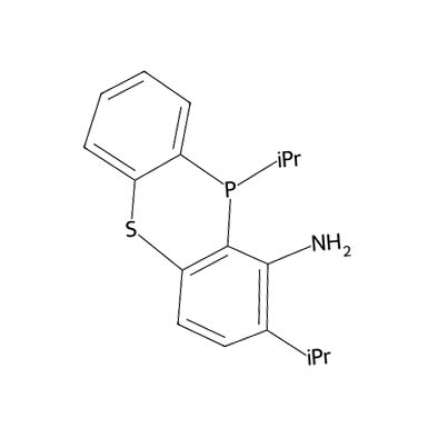 CC(C)c1ccc2c(c1N)P(C(C)C)c1ccccc1S2